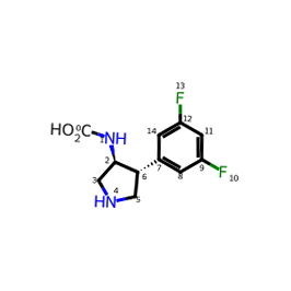 O=C(O)N[C@@H]1CNC[C@H]1c1cc(F)cc(F)c1